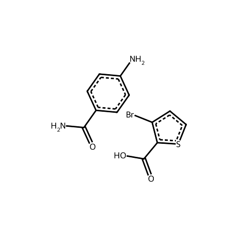 NC(=O)c1ccc(N)cc1.O=C(O)c1sccc1Br